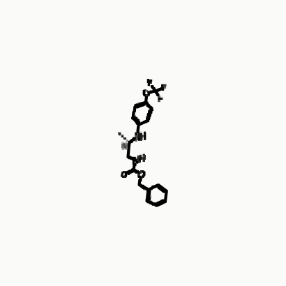 C[C@@H](CNC(=O)OCc1ccccc1)Nc1ccc(OC(F)(F)F)cc1